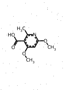 COc1cc(OC)c(C(=O)O)c(C)n1